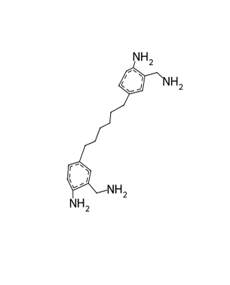 NCc1cc(CCCCCCc2ccc(N)c(CN)c2)ccc1N